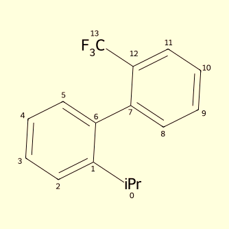 CC(C)c1ccccc1-c1ccccc1C(F)(F)F